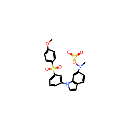 COc1ccc(S(=O)(=O)c2cccc(-n3ccc4ccc(N(C)O[SH](=O)=O)cc43)c2)cc1